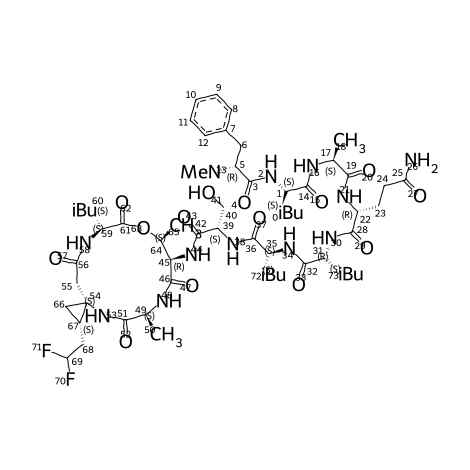 CC[C@H](C)[C@H](NC(=O)[C@@H](Cc1ccccc1)NC)C(=O)N[C@@H](C)C(=O)N[C@H](CCC(N)=O)C(=O)N[C@@H](C(=O)N[C@H](C(=O)N[C@@H](CO)C(=O)N[C@H]1C(=O)N[C@@H](C)C(=O)N[C@]2(CC(=O)N[C@@H]([C@@H](C)CC)C(=O)O[C@H]1C)C[C@H]2CC(F)F)[C@@H](C)CC)[C@@H](C)CC